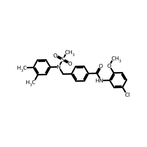 COc1ccc(Cl)cc1NC(=O)c1ccc(CN(c2ccc(C)c(C)c2)S(C)(=O)=O)cc1